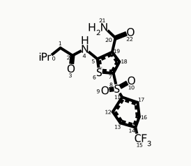 CC(C)CC(=O)Nc1sc(S(=O)(=O)c2ccc(C(F)(F)F)cc2)cc1C(N)=O